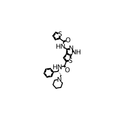 O=C(Nc1n[nH]c2sc(C(=O)N[C@H](CN3CCCCC3)c3ccccc3)cc12)c1cccs1